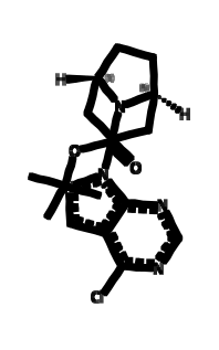 CC(C)(C)OC(=O)N1[C@H]2CC[C@H]1CC(n1ncc3c(Cl)ncnc31)C2